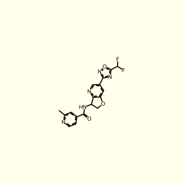 Cc1cc(C(=O)NC2COc3cc(-c4noc(C(F)F)n4)cnc32)ccn1